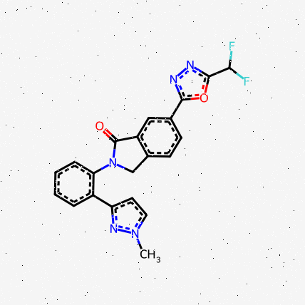 Cn1ccc(-c2ccccc2N2Cc3ccc(-c4nnc(C(F)F)o4)cc3C2=O)n1